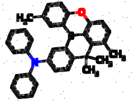 Cc1ccc2c(c1)B1c3cc(N(c4ccccc4)c4ccccc4)ccc3C(C)(C)c3c(C)ccc(c31)O2